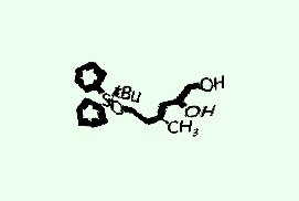 C[C@H](CCO[Si](c1ccccc1)(c1ccccc1)C(C)(C)C)CC(O)CO